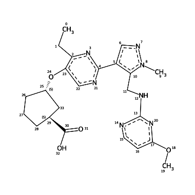 CCc1nc(-c2cnn(C)c2CNc2nccc(OC)n2)ncc1O[C@H]1CCC[C@H](C(=O)O)C1